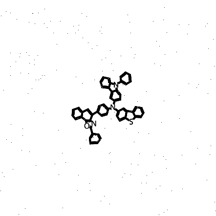 c1ccc(-c2nc3c(-c4ccc(N(c5ccc6sc7ccccc7c6c5)c5ccc6c(c5)c5ccccc5n6-c5ccccc5)cc4)cc4ccccc4c3o2)cc1